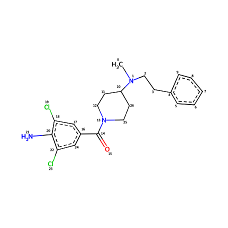 CN(CCc1ccccc1)C1CCN(C(=O)c2cc(Cl)c(N)c(Cl)c2)CC1